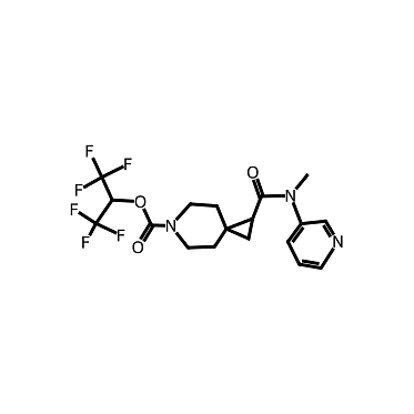 CN(C(=O)C1CC12CCN(C(=O)OC(C(F)(F)F)C(F)(F)F)CC2)c1cccnc1